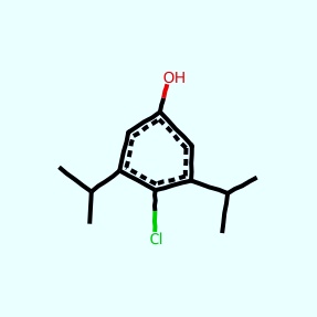 CC(C)c1cc(O)cc(C(C)C)c1Cl